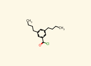 CCCCc1cc(CCCC)cc(C(=O)Cl)c1